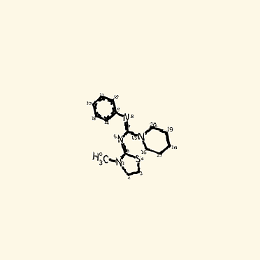 CN1CCSC1=NC(=Nc1ccccc1)N1CCCCC1